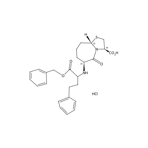 Cl.O=C(OCc1ccccc1)C(CCc1ccccc1)N[C@H]1CCC[C@@H]2SC[C@@H](C(=O)O)N2C1=O